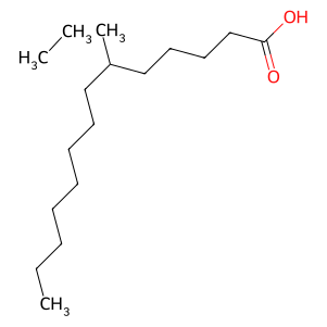 CC.CCCCCCCCC(C)CCCCC(=O)O